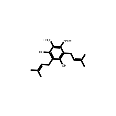 CCCCCc1c(CC=C(C)C)c(O)c(CC=C(C)C)c(O)c1C(=O)O